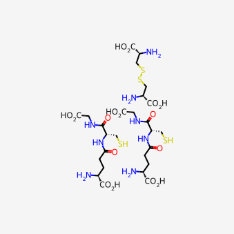 N[C@@H](CCC(=O)N[C@@H](CS)C(=O)NCC(=O)O)C(=O)O.N[C@@H](CCC(=O)N[C@@H](CS)C(=O)NCC(=O)O)C(=O)O.N[C@@H](CSSC[C@H](N)C(=O)O)C(=O)O